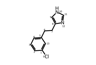 Clc1cccc(CCc2c[nH]cn2)c1